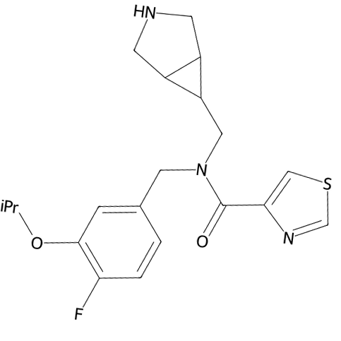 CC(C)Oc1cc(CN(CC2C3CNCC32)C(=O)c2cscn2)ccc1F